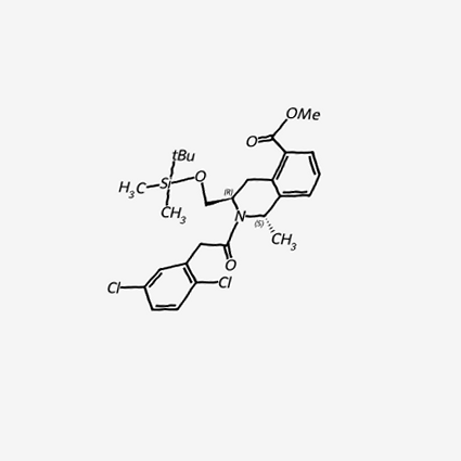 COC(=O)c1cccc2c1C[C@H](CO[Si](C)(C)C(C)(C)C)N(C(=O)Cc1cc(Cl)ccc1Cl)[C@H]2C